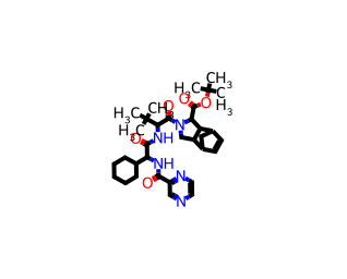 CC(C)(C)OC(=O)C1C2C3C=CC(C3)C2CN1C(=O)C(NC(=O)C(NC(=O)c1cnccn1)C1CCCCC1)C(C)(C)C